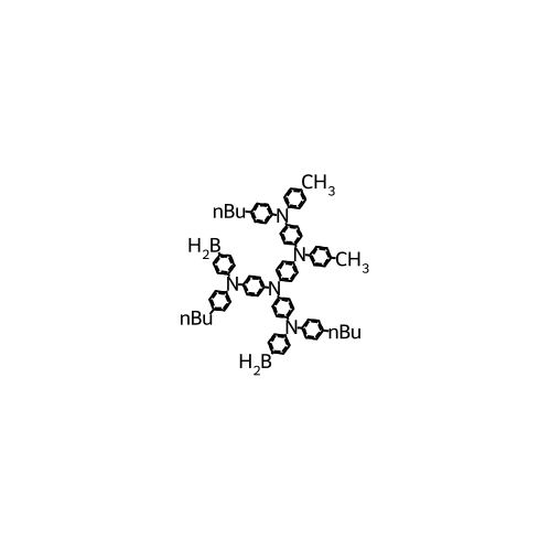 Bc1ccc(N(c2ccc(CCCC)cc2)c2ccc(N(c3ccc(N(c4ccc(B)cc4)c4ccc(CCCC)cc4)cc3)c3ccc(N(c4ccc(C)cc4)c4ccc(N(c5ccc(C)cc5)c5ccc(CCCC)cc5)cc4)cc3)cc2)cc1